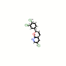 Clc1cnc2c(c1)C=CC(c1ccc(Cl)c(Cl)c1)O2